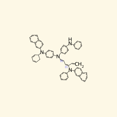 C=C/C(=C\C=C\N(c1ccc(Nc2ccccc2)cc1)c1ccc(N(c2ccc3ccccc3c2)C2C=CC=CC2)cc1)N(c1ccccc1)c1ccc2ccccc2c1